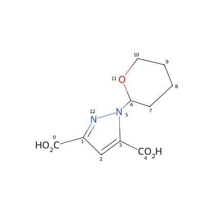 O=C(O)c1cc(C(=O)O)n(C2CCCCO2)n1